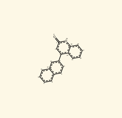 O=c1cc(-c2ccc3ccccc3c2)c2ccccc2o1